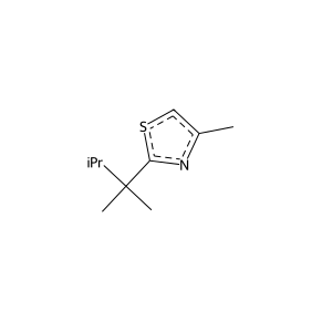 Cc1csc(C(C)(C)C(C)C)n1